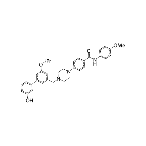 COc1ccc(NC(=O)c2ccc(N3CCN(Cc4cc(OC(C)C)cc(-c5cccc(O)c5)c4)CC3)cc2)cc1